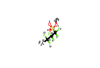 CC(C)OS(=O)(=O)C(F)(F)C(F)(F)C(F)(F)C(F)(F)F